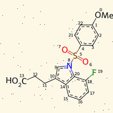 COc1ccc(S(=O)(=O)n2cc(CCC(=O)O)c3cccc(F)c32)cc1